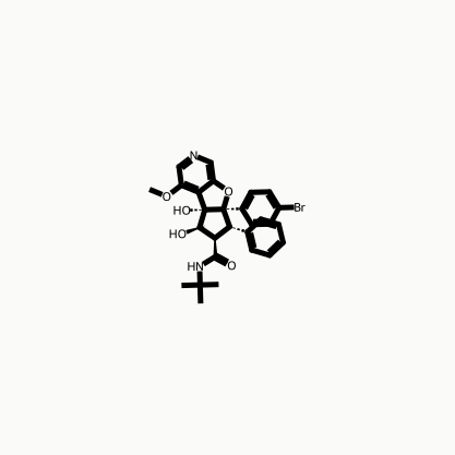 COc1cncc2c1[C@]1(O)[C@H](O)[C@H](C(=O)NC(C)(C)C)[C@@H](c3ccccc3)[C@]1(c1ccc(Br)cc1)O2